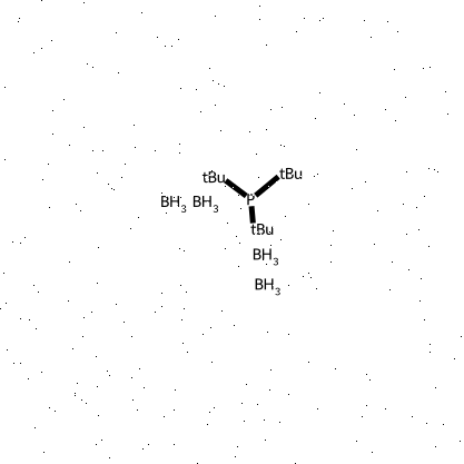 B.B.B.B.CC(C)(C)P(C(C)(C)C)C(C)(C)C